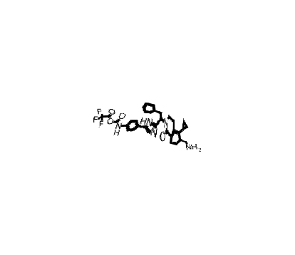 NCc1ccc2c(c1C1CC1)CCN(C(Cc1ccccc1)c1ncc(-c3ccc(NC(=O)OC(=O)C(F)(F)F)cc3)[nH]1)C2=O